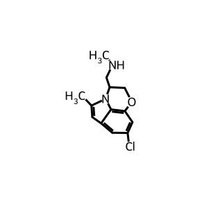 CNCC1COc2cc(Cl)cc3cc(C)n1c23